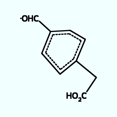 O=[C]c1ccc(CC(=O)O)cc1